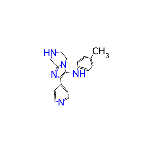 Cc1ccc(Nc2c(-c3ccncc3)nc3n2CCNC3)cc1